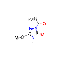 CNC(=O)n1nc(OC)n(C)c1=O